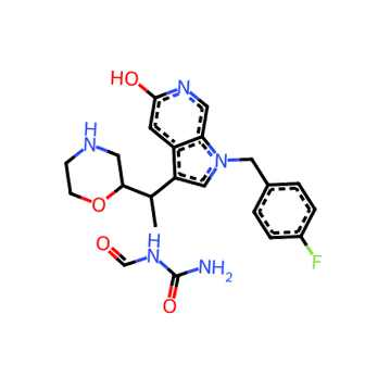 CC(c1cn(Cc2ccc(F)cc2)c2cnc(O)cc12)C1CNCCO1.NC(=O)NC=O